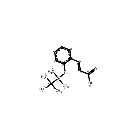 CC(C)(C)[Si](C)(C)Oc1ccccc1C=CC(=O)O